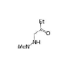 CCC(=O)CNNC